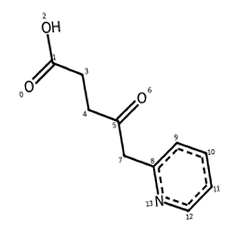 O=C(O)CCC(=O)Cc1ccccn1